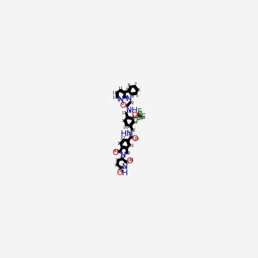 O=C(Cn1c2ccccc2c2cccnc21)NCc1ccc(CNC(=O)c2ccc3c(c2)CN(C2CCC(=O)NC2=O)C3=O)cc1OC(F)(F)F